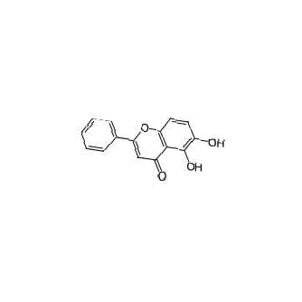 O=c1cc(-c2ccccc2)oc2ccc(O)c(O)c12